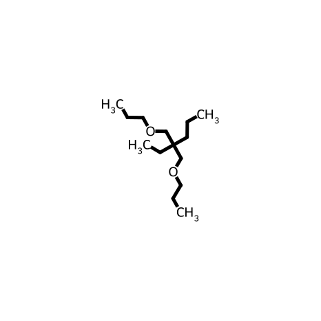 CCCOCC(CC)(CCC)COCCC